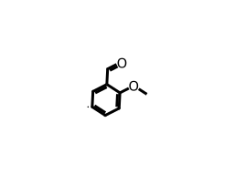 COc1cc[c]cc1C=O